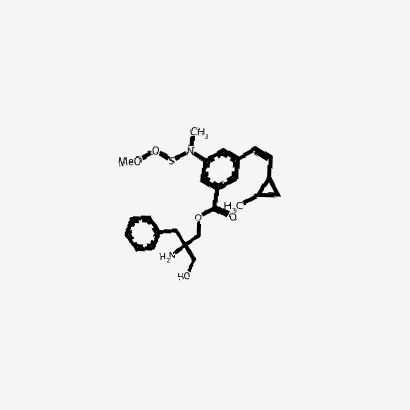 COOSN(C)c1cc(/C=C\C2CC2C)cc(C(=O)OCC(N)(CO)Cc2ccccc2)c1